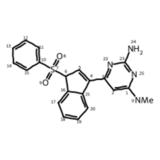 CNc1cc(C2=CC(S(=O)(=O)c3ccccc3)c3ccccc32)nc(N)n1